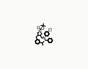 CC(C)c1cccc(CC2CN(C(=O)OC(C)(C)C)CC2CN(Cc2ccccc2)c2ccc(Cl)cc2)c1